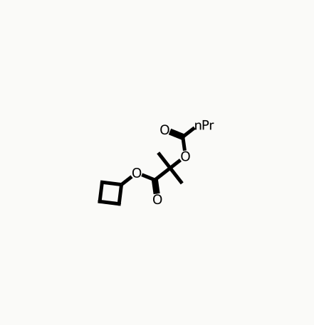 CCCC(=O)OC(C)(C)C(=O)OC1CCC1